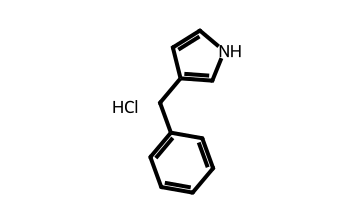 Cl.c1ccc(Cc2cc[nH]c2)cc1